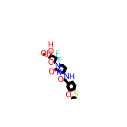 O=C(Nc1ccn(C2O[C@H](CO)[C@@H](O)C2(F)F)c(=O)n1)c1ccc2c(c1)OCCS2